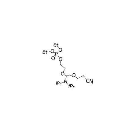 CCOP(=O)(OCC)OCCOC(OCCC#N)N(C(C)C)C(C)C